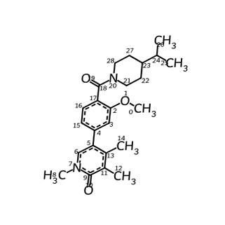 COc1cc(-c2cn(C)c(=O)c(C)c2C)ccc1C(=O)N1CCC(C(C)C)CC1